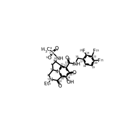 CCN1CC2C[C@H](NS(C)(=O)=O)c3c(C(=O)NCc4ccc(F)c(F)c4F)c(=O)c(O)c(n32)C1=O